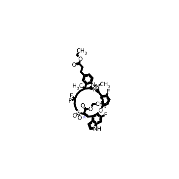 CCOC(=O)CCc1cccc(C2(C)CCC(F)(F)CCS(=O)(=O)/C(C(=O)OCC)=C/c3c(c(F)cc4[nH]ccc34)Oc3ccc(F)c(c3)-c3nc2nn3C)c1